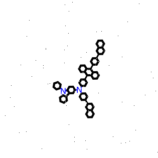 c1ccc(-n2c3ccccc3c3cc(N(c4ccc(-c5ccc6ccccc6c5)cc4)c4ccc(-c5c6ccccc6c(-c6ccc(-c7ccc8ccccc8c7)cc6)c6ccccc56)cc4)ccc32)cc1